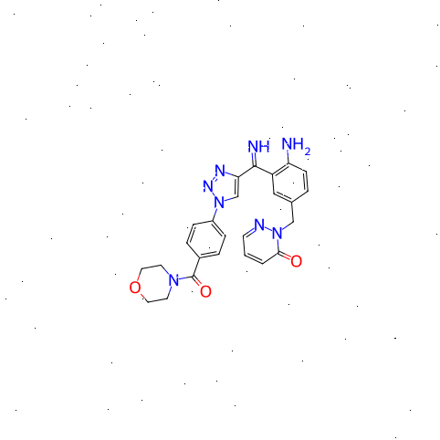 N=C(c1cn(-c2ccc(C(=O)N3CCOCC3)cc2)nn1)c1cc(Cn2ncccc2=O)ccc1N